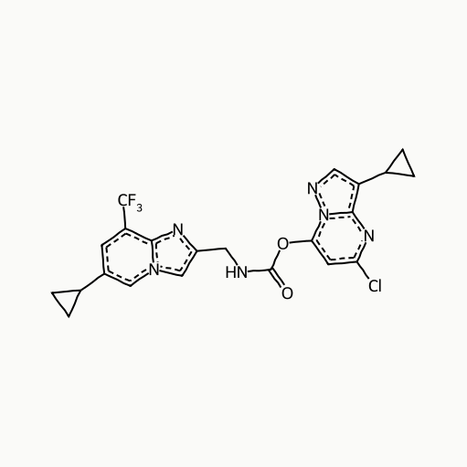 O=C(NCc1cn2cc(C3CC3)cc(C(F)(F)F)c2n1)Oc1cc(Cl)nc2c(C3CC3)cnn12